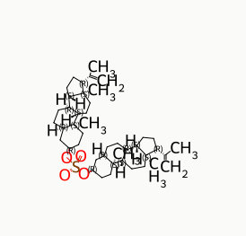 C=C(C)[C@H]1CC[C@H]2[C@@H]3CC[C@@H]4C[C@H](OS(=O)(=O)O[C@@H]5CC[C@@]6(C)[C@H](CC[C@@H]7[C@@H]6CC[C@]6(C)[C@@H](C(=C)C)CC[C@@H]76)C5)CC[C@]4(C)[C@H]3CC[C@]12C